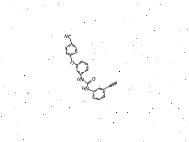 C#Cc1cccc(NC(=O)Nc2cccc(Oc3ccc(C#N)cc3)c2)c1